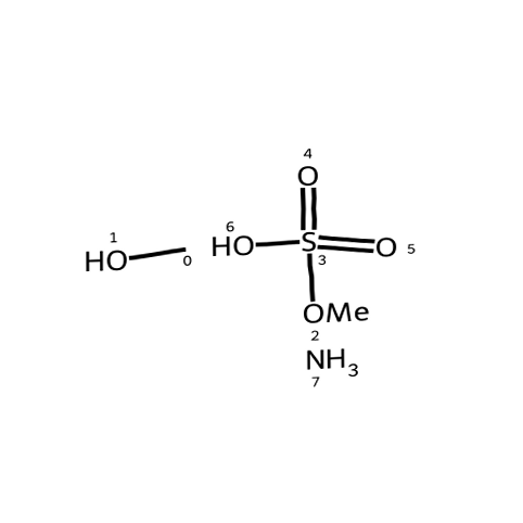 CO.COS(=O)(=O)O.N